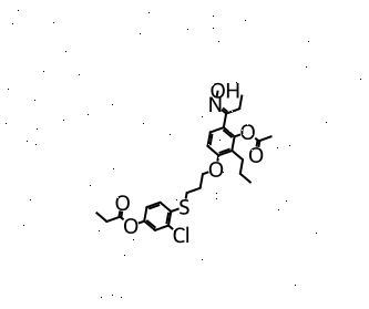 CCCc1c(OCCCSc2ccc(OC(=O)CC)cc2Cl)ccc(C(CC)=NO)c1OC(C)=O